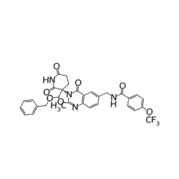 Cc1nc2ccc(CNC(=O)c3ccc(OC(F)(F)F)cc3)cc2c(=O)n1[C@]1(C(=O)OCc2ccccc2)CCC(=O)NC1=O